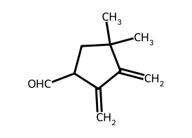 C=C1C(=C)C(C)(C)CC1C=O